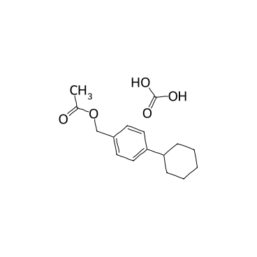 CC(=O)OCc1ccc(C2CCCCC2)cc1.O=C(O)O